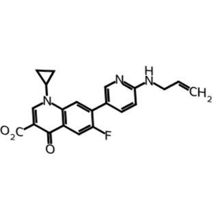 C=CCNc1ccc(-c2cc3c(cc2F)c(=O)c(C(=O)O)cn3C2CC2)cn1